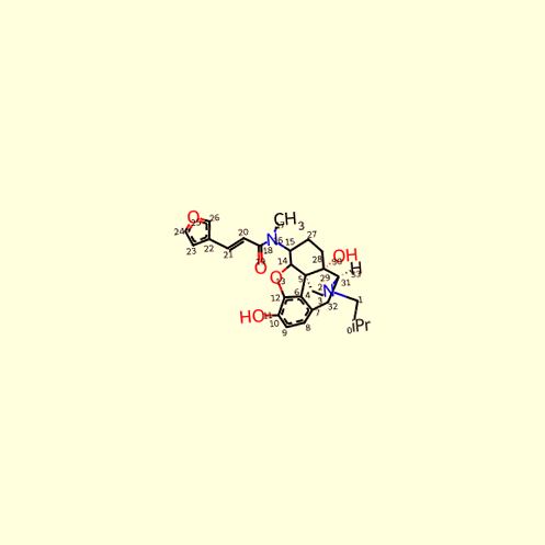 CC(C)CN1CC[C@]23c4c5ccc(O)c4OC2C(N(C)C(=O)/C=C/c2ccoc2)CC[C@@]3(O)[C@H]1C5